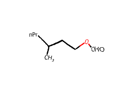 CCCC(C)CCOC=O